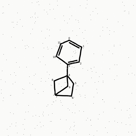 c1ccc(C23CC[C](C2)C3)cc1